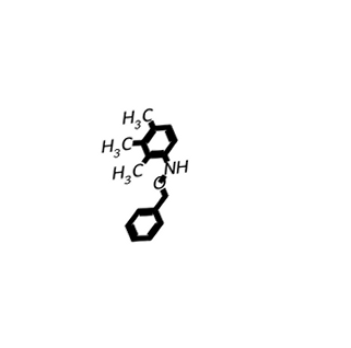 Cc1ccc(NOCc2ccccc2)c(C)c1C